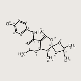 CCOC1C(C(=O)Nc2ccc(Cl)cc2)=C(C)OC(OCC)(OCC)C1C